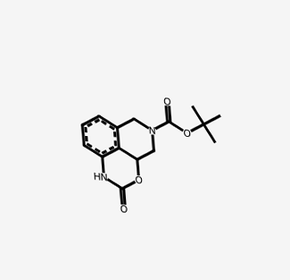 CC(C)(C)OC(=O)N1Cc2cccc3c2C(C1)OC(=O)N3